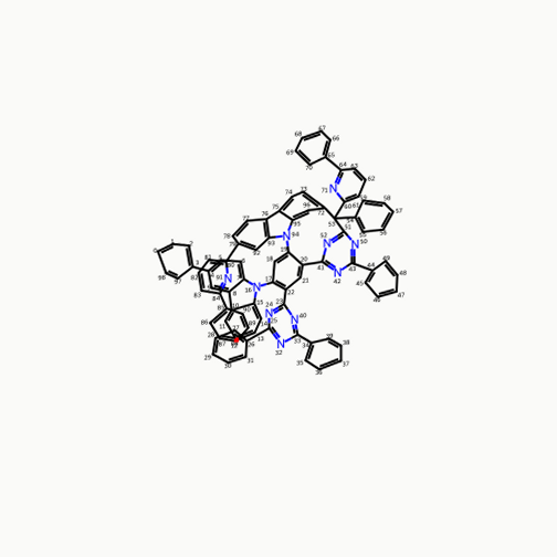 c1ccc(-c2ccc3c(c2)c2ccccc2n3-c2cc3c(cc2-c2nc(-c4ccccc4)nc(-c4ccccc4)n2)-c2nc(-c4ccccc4)nc(n2)C(c2ccccc2)(c2cccc(-c4ccccc4)n2)c2ccc4c5ccc(-c6cccc(-c7ccccc7)n6)cc5n-3c4c2)cc1